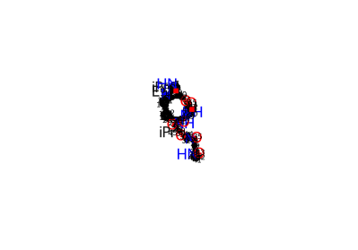 CCn1c(C2=C(C(C)C)NCC=C2)c2c3cc(ccc31)-c1cccc(c1)CC(NC(=O)C(COC1CN(C(=O)C#CC3NCCCO3)C1)C(C)C)C(=O)N1CCC[C@H](N1)C(=O)OCC(C)(C)C2